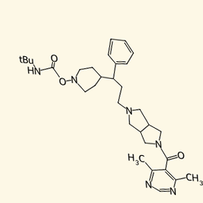 Cc1ncnc(C)c1C(=O)N1CC2CN(CCC(c3ccccc3)C3CCN(OC(=O)NC(C)(C)C)CC3)CC2C1